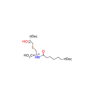 CCCCCCCCCCCCCCCC(=O)N[C@H](CSC[C@H](O)CCCCCCCCCC)C(=O)O